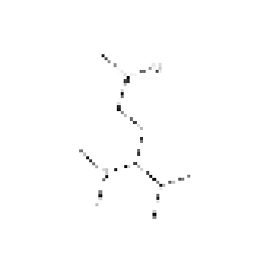 CC(C)C(CC[S+](C)[O-])N(C)C